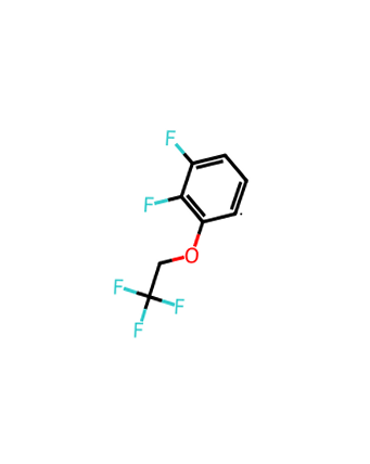 Fc1cc[c]c(OCC(F)(F)F)c1F